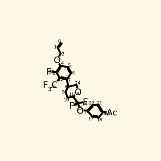 C=CCOc1ccc(C2CCC(C(F)(F)Oc3ccc(C(C)=O)cc3)OC2)c(C(F)(F)F)c1F